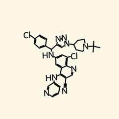 CC(C)(C)N1CCC(n2cc(C(Nc3cc(Cl)c4ncc(C#N)c(Nc5cccnc5)c4c3)c3ccc(Cl)cc3)nn2)CC1